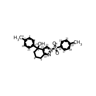 Cc1ccc(C2(O)CCCc3nn(S(=O)(=O)c4ccc(C)cc4)cc32)cc1